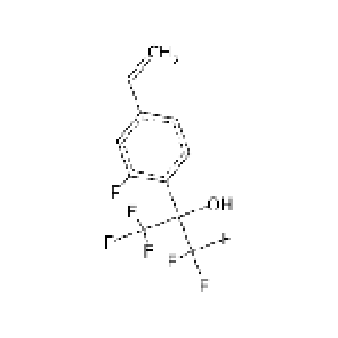 C=Cc1ccc(C(O)(C(F)(F)F)C(F)(F)F)c(F)c1